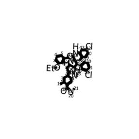 CCOc1cccc(CN2[C@H]3Cc4c5cc(C)c(C(=O)N(C)C)cc5nn4[C@H]3[C@H](c3cccc(Cl)c3F)[C@@]23Cc2ccc(Cl)cc2NC3=O)c1